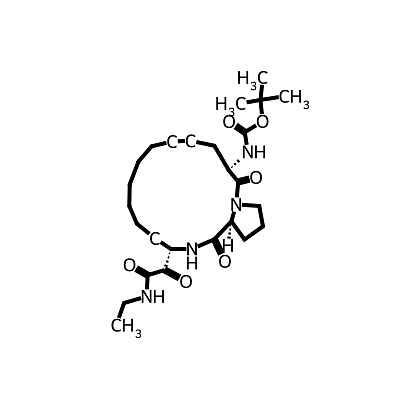 CCNC(=O)C(=O)[C@@H]1CCCCCCCCC[C@H](NC(=O)OC(C)(C)C)C(=O)N2CCC[C@H]2C(=O)N1